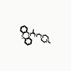 C/C(=N\CN1CCN(C)CC1)N1c2ccccc2Sc2ccccc21